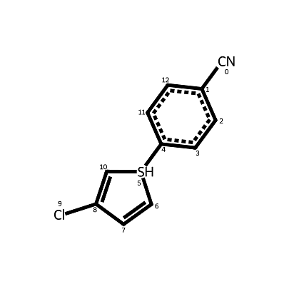 N#Cc1ccc([SH]2C=CC(Cl)=C2)cc1